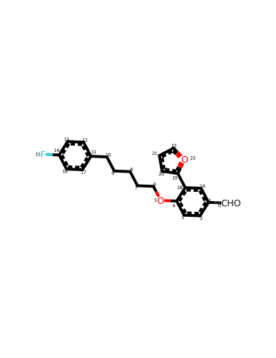 O=Cc1ccc(OCCCCCc2ccc(F)cc2)c(-c2ccco2)c1